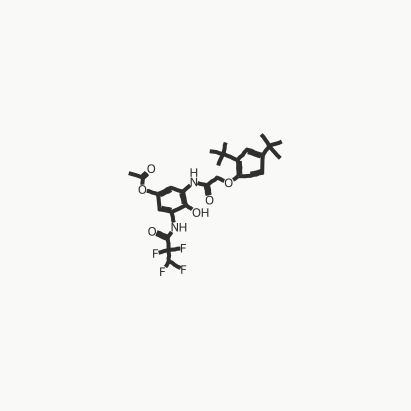 CC(=O)Oc1cc(NC(=O)COc2ccc(C(C)(C)C)cc2C(C)(C)C)c(O)c(NC(=O)C(F)(F)C(F)F)c1